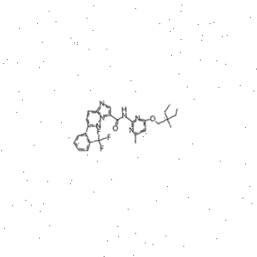 CCC(C)(CC)COc1cc(C)nc(NC(=O)c2cnc3ccc(-c4ccccc4C(F)(F)F)nn23)n1